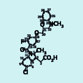 Cc1c(CC(=O)O)c2cc(Cl)ccc2n1C(=O)c1ccc(OC[C@@H]2CN(C)c3ccccc3O2)cc1F